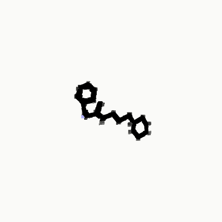 O=C(/C=C\c1cccnc1)OCCCN1CCCCC1